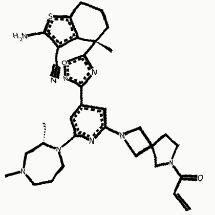 C=CC(=O)N1CCC2(C1)CN(c1cc(-c3noc([C@@]4(C)CCCc5sc(N)c(C#N)c54)n3)cc(N3CCCN(C)C[C@@H]3C)n1)C2